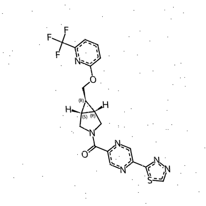 O=C(c1cnc(-c2nncs2)cn1)N1C[C@@H]2[C@@H](COc3cccc(C(F)(F)F)n3)[C@@H]2C1